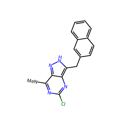 CNc1nc(Cl)nc2c(Cc3ccc4ccccc4c3)[nH]nc12